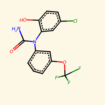 NC(=O)N(c1cccc(OC(F)(F)F)c1)c1cc(Cl)ccc1O